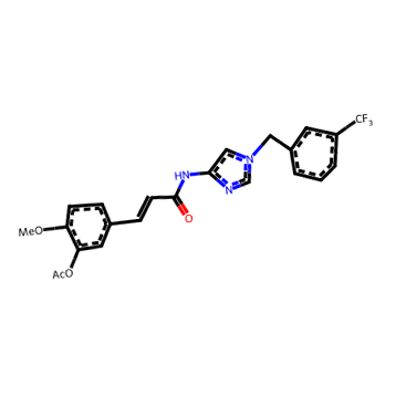 COc1ccc(/C=C/C(=O)Nc2cn(Cc3cccc(C(F)(F)F)c3)cn2)cc1OC(C)=O